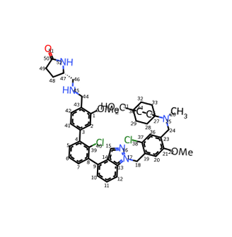 COc1cc(-c2cccc(-c3cccc4c3cnn4Cc3cc(OC)c(CN(C)C45CCC(C(=O)O)(CC4)CC5)cc3Cl)c2Cl)ccc1CNC[C@@H]1CCC(=O)N1